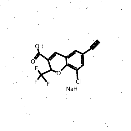 C#Cc1cc(Cl)c2c(c1)C=C(C(=O)O)C(C(F)(F)F)O2.[NaH]